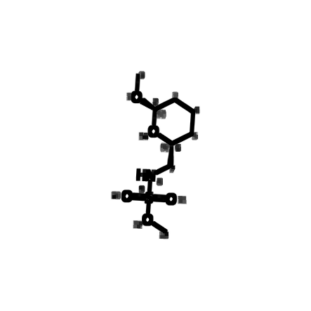 CO[C@H]1CCC[C@@H](CNS(=O)(=O)OC)O1